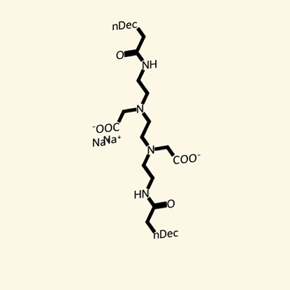 CCCCCCCCCCCC(=O)NCCN(CCN(CCNC(=O)CCCCCCCCCCC)CC(=O)[O-])CC(=O)[O-].[Na+].[Na+]